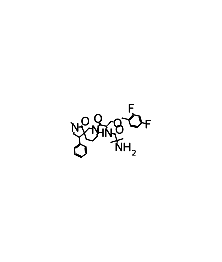 CN1CC(c2ccccc2)C2(CCCN(C(=O)[C@@H](COCc3ccc(F)cc3F)NC(=O)C(C)(C)N)C2)C1=O